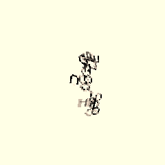 CC(C)(C)OC(=O)N1CCC2(CC1)CC(=O)c1ccc(C=CC(=O)NOC3CCCCO3)cc1O2